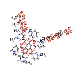 CN1CC=C[C+](C(=O)OC2C(OC(=O)[C+]3C=CCN(C)C3)C(OC(=O)[C+]3C=CCN(C)C3)C(OC(=O)[C+]3C=CCN(C)C3)C(OC(=O)[C+]3C=CCN(C)C3)C2OC(=O)[C+]2C=CCN(C)C2)C1.COS(=O)(=O)[O-].COS(=O)(=O)[O-].COS(=O)(=O)[O-].COS(=O)(=O)[O-].COS(=O)(=O)[O-].COS(=O)(=O)[O-]